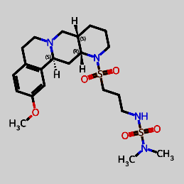 COc1ccc2c(c1)[C@@H]1C[C@@H]3[C@@H](CCCN3S(=O)(=O)CCCNS(=O)(=O)N(C)C)CN1CC2